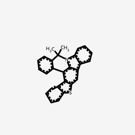 CC1(C)c2ccccc2-c2c3c(cc4c5ccccc5n1c24)sc1ccccc13